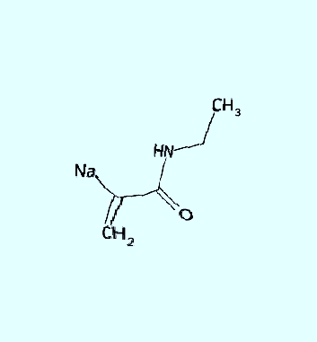 C=[C]([Na])C(=O)NCC